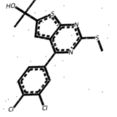 CSc1nc(-c2ccc(Cl)c(Cl)c2)c2cc(C(C)(C)O)sc2n1